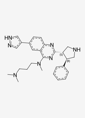 CN(C)CCCN(C)c1nc([C@@H]2CNC[C@H]2c2ccccc2)nc2ccc(-c3cn[nH]c3)cc12